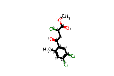 COC(=O)C(Cl)CC(=O)c1cc(Cl)c(Cl)cc1C